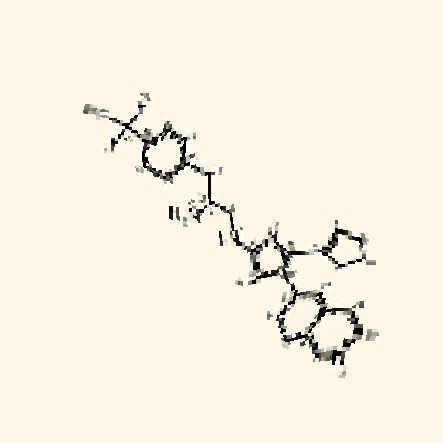 N[C@H](CNc1nc(C2=CCCC2)c(-c2ccc3cnccc3c2)s1)Cc1ccc(C(F)(F)F)cc1